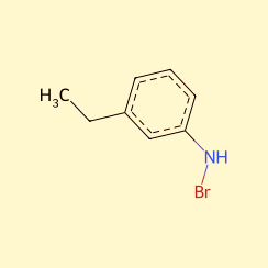 CCc1cccc(NBr)c1